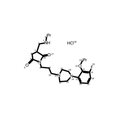 CC(C)NCC1CC(=O)N(CCCN2CCN(c3cccc(F)c3OC(C)C)CC2)C1=O.Cl